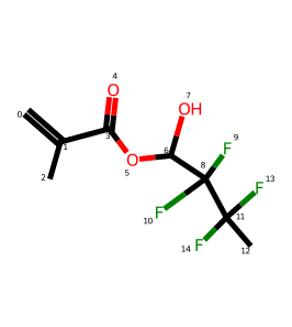 C=C(C)C(=O)OC(O)C(F)(F)C(C)(F)F